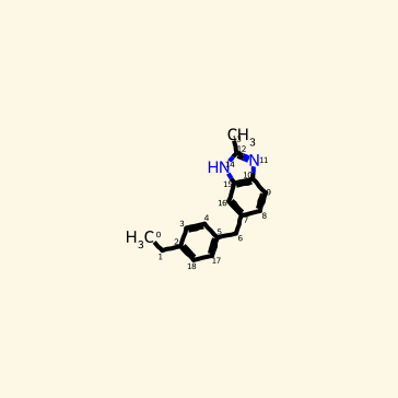 CCc1ccc(Cc2ccc3nc(C)[nH]c3c2)cc1